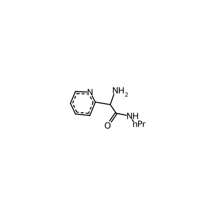 CCCNC(=O)C(N)c1ccccn1